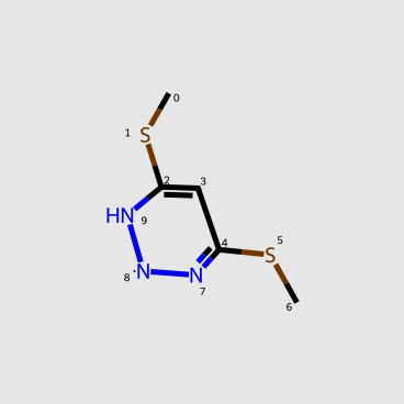 CSC1=CC(SC)=N[N]N1